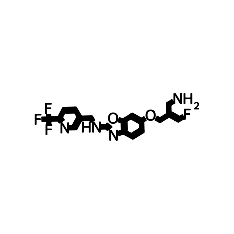 NC/C(=C\F)COc1ccc2nc(NCc3ccc(C(F)(F)F)nc3)oc2c1